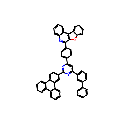 c1ccc(-c2cccc(-c3cc(-c4ccc(-c5nc6ccccc6c6c5oc5ccccc56)cc4)nc(-c4ccc5c6ccccc6c6ccccc6c5c4)n3)c2)cc1